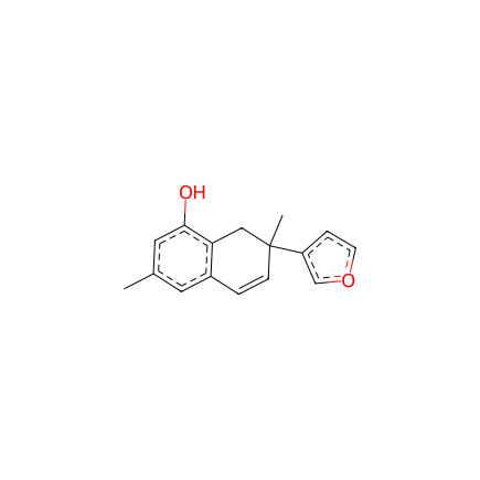 Cc1cc(O)c2c(c1)C=CC(C)(c1ccoc1)C2